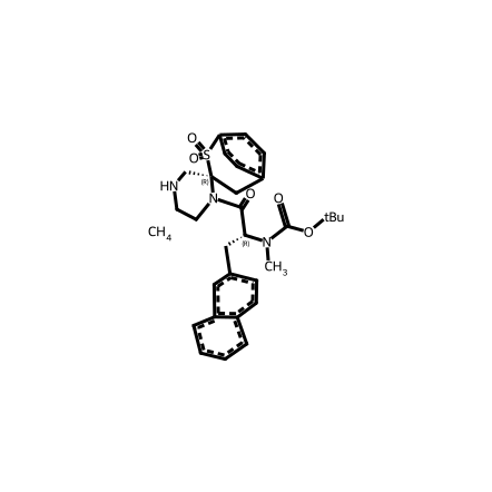 C.CN(C(=O)OC(C)(C)C)[C@H](Cc1ccc2ccccc2c1)C(=O)N1CCNC[C@]12Cc1ccc(cc1)S2(=O)=O